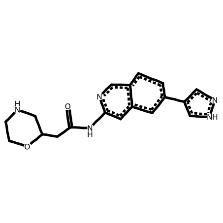 O=C(CC1CNCCO1)Nc1cc2cc(-c3cn[nH]c3)ccc2cn1